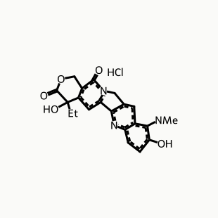 CCC1(O)C(=O)OCc2c1cc1n(c2=O)Cc2cc3c(NC)c(O)ccc3nc2-1.Cl